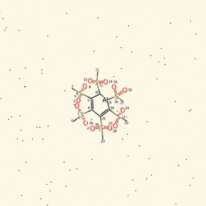 CS(=O)(=O)C1=C(S(C)(=O)=O)[CH](S(C)(=O)=O)[Al]([S](C)(=O)=O)[C](S(C)(=O)=O)=C1S(C)(=O)=O